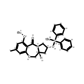 CC[C@@H](C)Oc1cc(C)cc2c1C(=O)N1C[C@H](O[Si](c3ccccc3)(c3ccccc3)C(C)(C)C)C[C@@H]1CO2